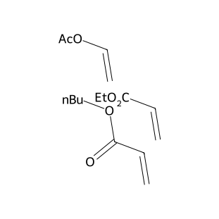 C=CC(=O)OCC.C=CC(=O)OCCCC.C=COC(C)=O